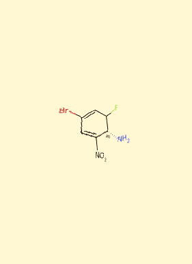 N[C@@H]1C([N+](=O)[O-])=CC(Br)=CC1F